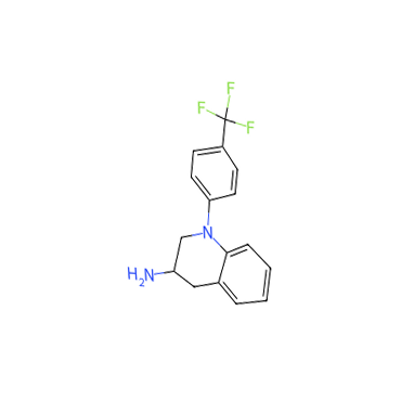 NC1Cc2ccccc2N(c2ccc(C(F)(F)F)cc2)C1